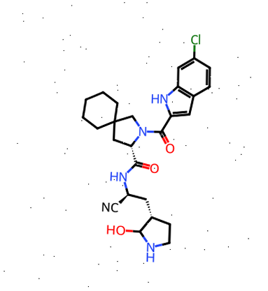 N#C[C@H](C[C@@H]1CCNC1O)NC(=O)[C@@H]1CC2(CCCCC2)CN1C(=O)c1cc2ccc(Cl)cc2[nH]1